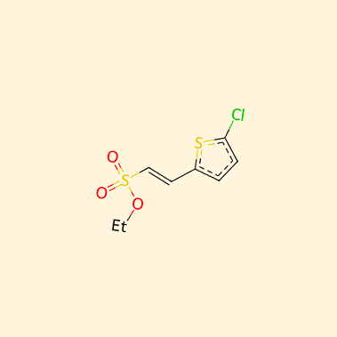 CCOS(=O)(=O)C=Cc1ccc(Cl)s1